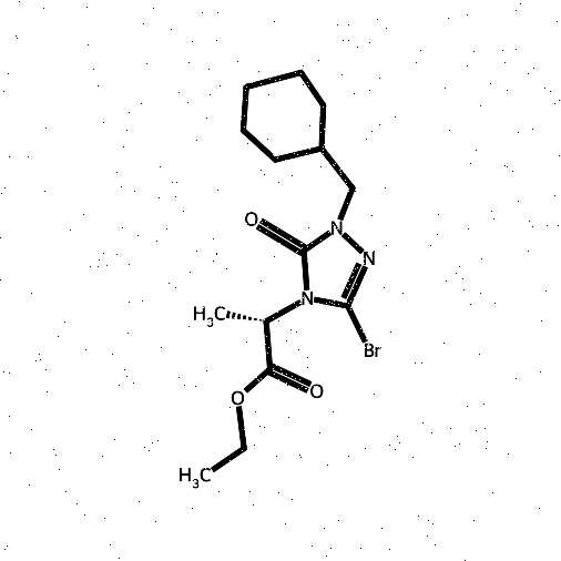 CCOC(=O)[C@H](C)n1c(Br)nn(CC2CCCCC2)c1=O